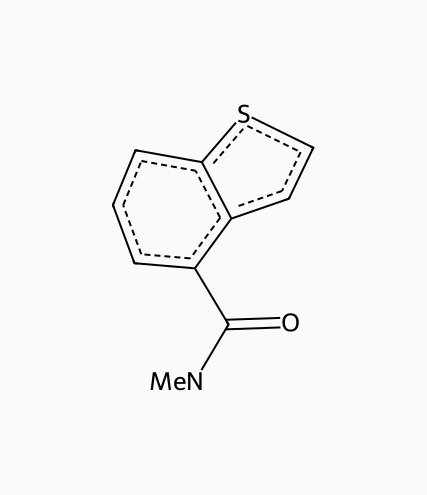 CNC(=O)c1cccc2sccc12